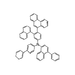 C1=CC(c2ccc(N(c3ccc(-c4cc5ccccc5c5ccccc45)c(-c4cccc5ccccc45)c3)c3ccc(-c4ccccc4)c4ccccc34)cc2)=CCC1